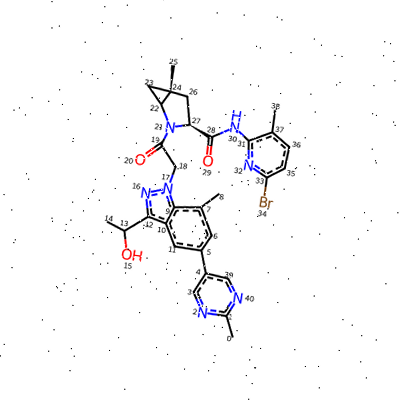 Cc1ncc(-c2cc(C)c3c(c2)c(C(C)O)nn3CC(=O)N2C3C[C@]3(C)C[C@H]2C(=O)Nc2nc(Br)ccc2C)cn1